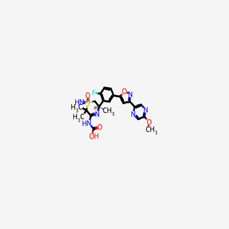 COc1cnc(-c2cc(-c3ccc(F)c([C@]4(C)C[S@@](=N)(=O)C(C)(C)C(NC(=O)O)=N4)c3)on2)cn1